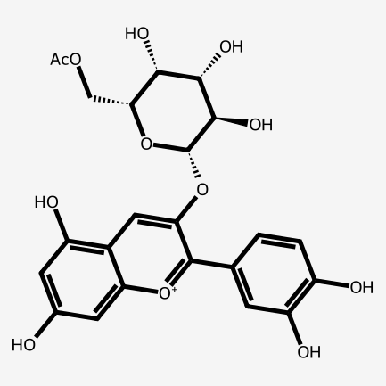 CC(=O)OC[C@H]1O[C@@H](Oc2cc3c(O)cc(O)cc3[o+]c2-c2ccc(O)c(O)c2)[C@H](O)[C@@H](O)[C@H]1O